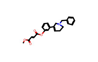 COC(=O)/C=C/C(=O)Oc1cccc(C2=CCCN(Cc3ccccc3)C2)c1